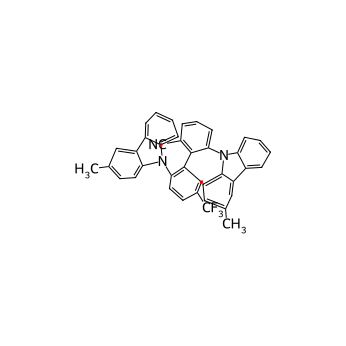 Cc1ccc2c(c1)c1ccccc1n2-c1ccc(C(F)(F)F)cc1-c1c(C#N)cccc1-n1c2ccccc2c2cc(C)ccc21